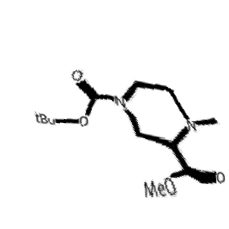 COC(=O)C1CN(C(=O)OC(C)(C)C)CCN1C